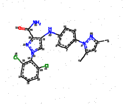 Cc1cc(C)n(-c2ccc(Nc3cn(-c4c(Cl)cccc4Cl)nc3C(N)=O)cc2)n1